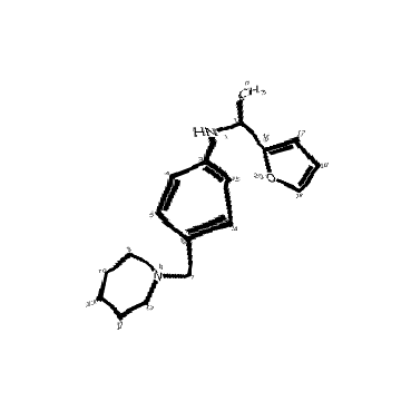 CC(Nc1ccc(CN2CCCCC2)cc1)c1ccco1